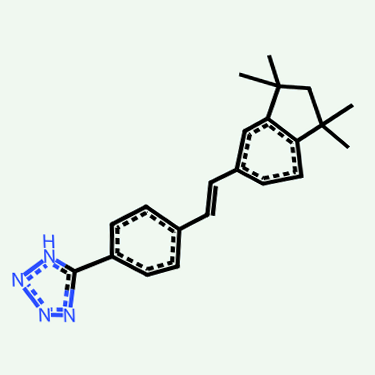 CC1(C)CC(C)(C)c2cc(/C=C/c3ccc(-c4nnn[nH]4)cc3)ccc21